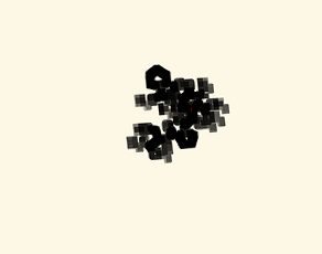 C/C(=C\[C@H](C(C)C)N(C)C(=O)[C@@H](NC(=O)[C@H]1CCCCN1C(C)C)C(C)(C)C)C(=O)N1CCC[C@H]1C(=O)NC(CO)C(C)C